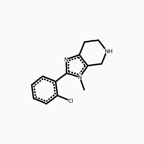 Cn1c(-c2ccccc2Cl)nc2c1CNCC2